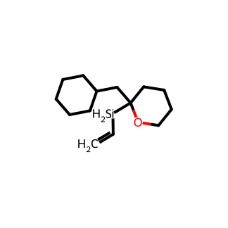 C=C[SiH2]C1(CC2CCCCC2)CCCCO1